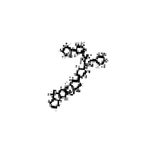 CC1(C)c2ccccc2-c2cc3c(cc21)Oc1cc(-c2ccc(-c4nc(-c5ccccc5)nc(-c5cccc(-c6ccccn6)c5)n4)cc2)ccc1O3